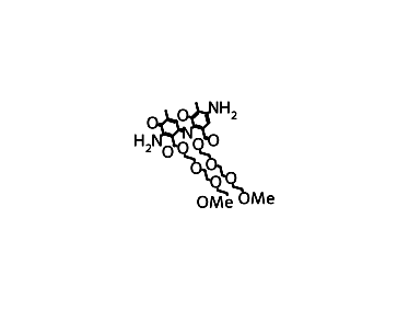 COCCOCCOCCOC(=O)c1c2nc3c(C(=O)OCCOCCOCCOC)cc(N)c(C)c3oc-2c(C)c(=O)c1N